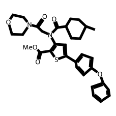 COC(=O)c1sc(-c2ccc(Oc3ccccc3)cc2)cc1N(CC(=O)N1CCOCC1)C(=O)C1CCC(C)CC1